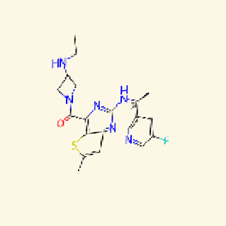 CCNC1CN(C(=O)c2nc(N[C@@H](C)c3cncc(F)c3)nc3cc(C)sc23)C1